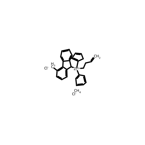 C.C=CC[CH2][Zr+2]([C]1=CC=CC1)([c]1ccccc1)[CH]1c2ccccc2-c2c(C)cccc21.[Cl-].[Cl-]